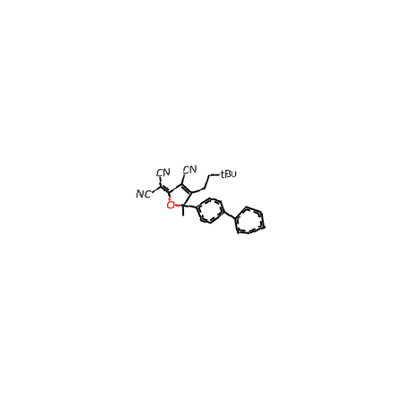 CC(C)(C)CCC1=C(C#N)C(=C(C#N)C#N)OC1(C)c1ccc(-c2ccccc2)cc1